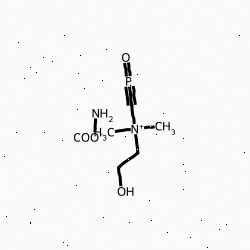 C[N+](C)(C#P=O)CCO.NC(=O)[O-]